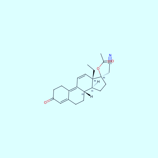 CC[C@]12C=CC3=C4CCC(=O)C=C4CC[C@H]3[C@@H]1CC[C@]2(CC#N)OC(C)=O